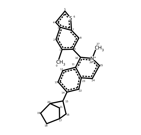 Cc1cc2ccsc2cc1-c1c2ccc(C3CC4CCC3C4)cc2cc[n+]1C